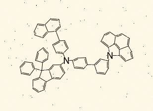 c1ccc(C2(c3ccccc3)c3ccccc3-c3ccc(N(c4ccc(-c5cccc(-n6c7cccc8ccc9cccc6c9c87)c5)cc4)c4ccc(-c5cccc6ccccc56)cc4)cc32)cc1